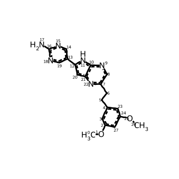 COc1cc(CCc2cnc3[nH]c(-c4cnc(N)nc4)cc3n2)cc(OC)c1